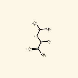 C=C(C)C(O)OC(C)C